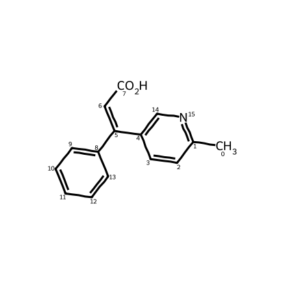 Cc1ccc(/C(=C\C(=O)O)c2ccccc2)cn1